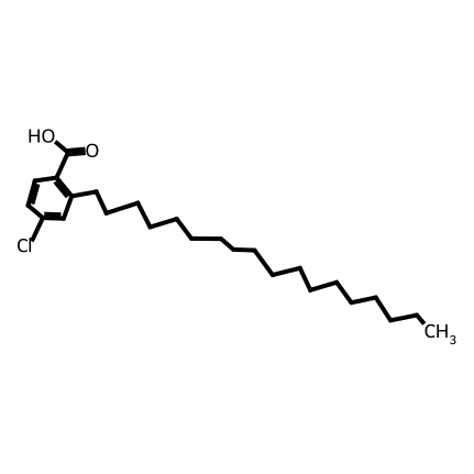 CCCCCCCCCCCCCCCCCCc1cc(Cl)ccc1C(=O)O